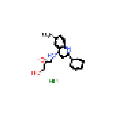 Cl.O=[N+]([O-])c1ccc2nc(-c3ccccc3)cc(NC[C@H](O)CO)c2c1